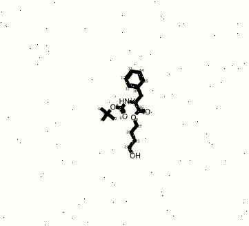 CC(C)(C)OC(=O)NC(Cc1ccccc1)C(=O)OCCCCO